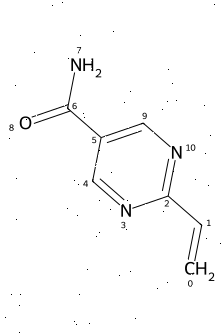 C=Cc1ncc(C(N)=O)cn1